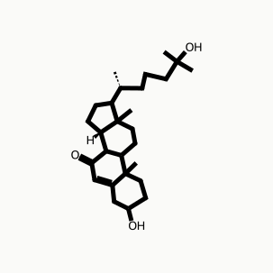 C[C@H](CCCC(C)(C)O)C1CC[C@H]2C3C(=O)C=C4CC(O)CCC4(C)C3CCC12C